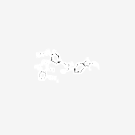 COc1ncc(NC(=O)c2ccc3nc(C)sc3c2)cc1[S+]([O-])Nc1c(C)cccc1C